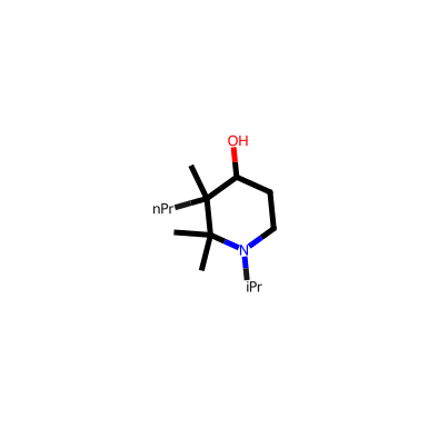 CCCC1(C)C(O)CCN(C(C)C)C1(C)C